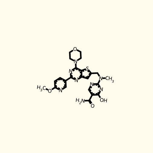 COc1ccc(-c2nc(N3CCOCC3)c3sc(CN(C)c4ncc(C(N)=O)c(O)n4)cc3n2)cn1